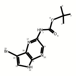 CC(C)(C)OC(=O)Nc1cnc2[nH]cc(Br)c2n1